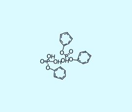 O=P(O)(O)Oc1ccccc1.O=P(O)(Oc1ccccc1)Oc1ccccc1